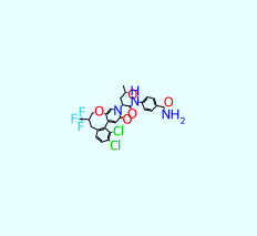 COC(C)CC(C(=O)Nc1ccc(C(N)=O)cc1)n1cc2c(cc1=O)-c1c(ccc(Cl)c1Cl)CC(C(F)(F)F)CO2